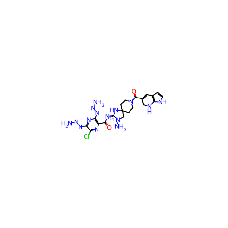 NN=Nc1nc(N=NN)c(C(=O)/N=C2/NC3(CCN(C(=O)C4=Cc5cc[nH]c5NC4)CC3)CN2N)nc1Cl